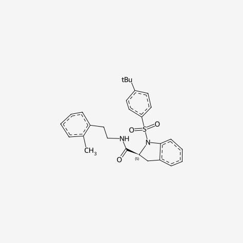 Cc1ccccc1CCNC(=O)[C@@H]1Cc2ccccc2N1S(=O)(=O)c1ccc(C(C)(C)C)cc1